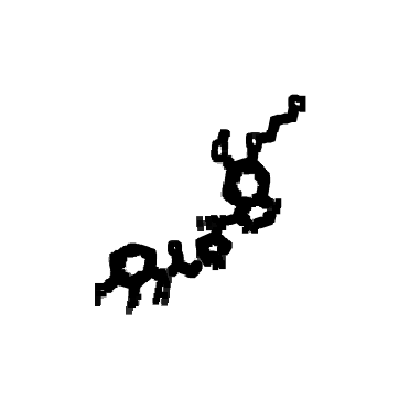 COc1cc2c(Nc3cnn(CC(=O)Nc4cccc(F)c4F)c3)ncnc2cc1OCCCCl